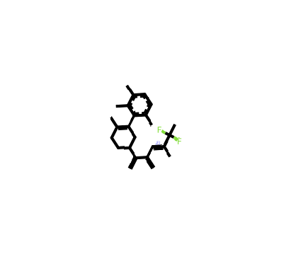 C=C(/C=C(\C)C(C)(F)F)C(=C)C1CCC(C)=C(c2c(C)ccc(C)c2C)C1